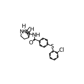 C[C@H]1[C@H](NC(=O)c2ccc(Sc3ccccc3Cl)cc2)C2CCN1CC2